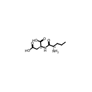 CCC[C@H](N)C(=O)N[C@@H](CC(=O)O)C(=O)O